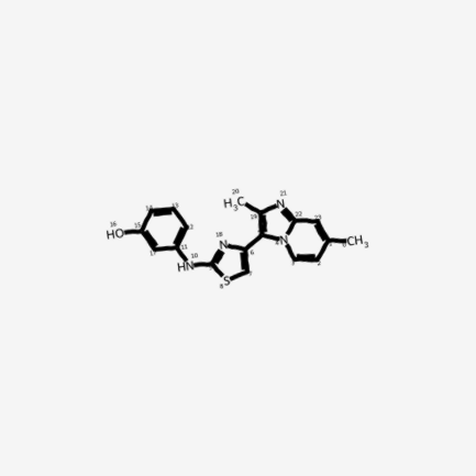 Cc1ccn2c(-c3csc(Nc4cccc(O)c4)n3)c(C)nc2c1